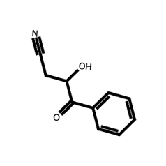 N#CCC(O)C(=O)c1ccccc1